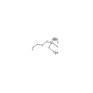 CCCCC(C)(N)CO